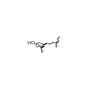 CC/C=C(/F)CC/C=C(\C=C\F)CC(O)O